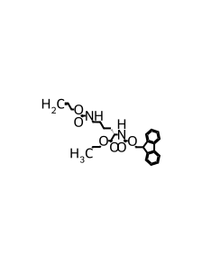 C=CCOC(=O)NCCCC[C@H](NC(=O)OCC1c2ccccc2-c2ccccc21)C(=O)OCCC